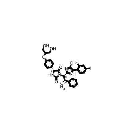 C[C@H](c1ccccc1)[C@@H](c1nc(Cl)c(-c2ccc(I)cc2F)[nH]1)N1C(=O)N[C@H](c2ccc(OC(CO)CO)cc2)C1=O